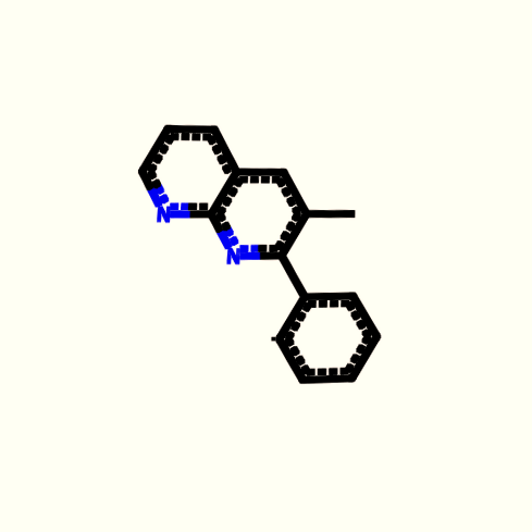 Cc1cc2cccnc2nc1-c1[c]cccc1